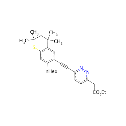 CCCCCCc1cc2c(cc1C#Cc1ccc(CC(=O)OCC)nn1)C(C)(C)CC(C)(C)S2